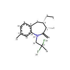 C=C1[C@@H](C)[C@@H](CC)Cc2ccc(C)cc2N1CC(C)(F)F